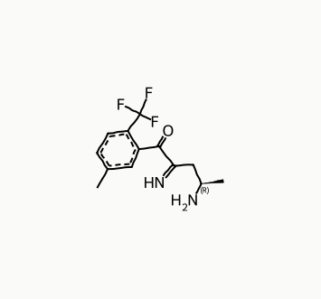 Cc1ccc(C(F)(F)F)c(C(=O)C(=N)C[C@@H](C)N)c1